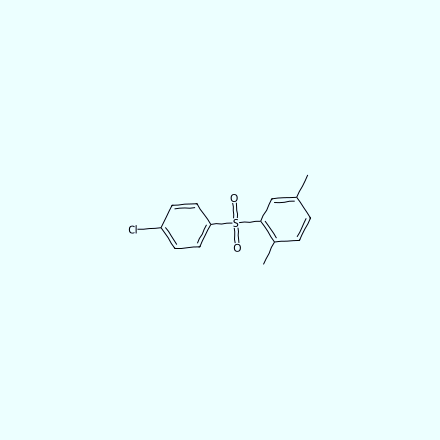 Cc1ccc(C)c(S(=O)(=O)c2ccc(Cl)cc2)c1